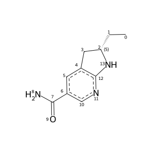 CC[C@H]1Cc2cc(C(N)=O)cnc2N1